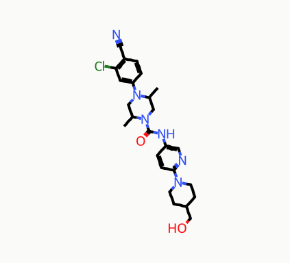 CC1CN(c2ccc(C#N)c(Cl)c2)C(C)CN1C(=O)Nc1ccc(N2CCC(CO)CC2)nc1